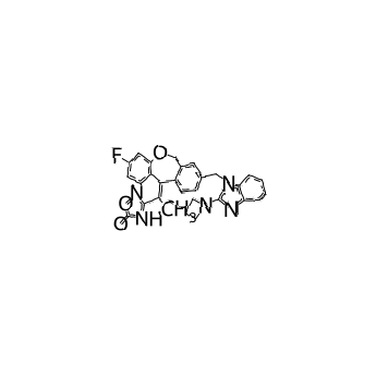 CC(=C1c2ccc(Cn3c(N4CCC4)nc4ccccc43)cc2COc2cc(F)ccc21)c1noc(=O)[nH]1